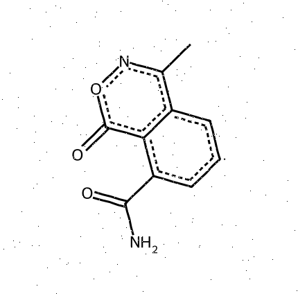 Cc1noc(=O)c2c(C(N)=O)c[c]cc12